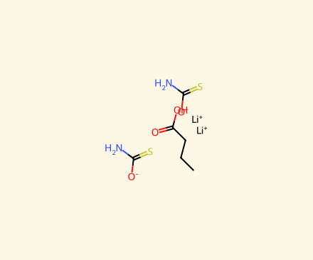 CCCC(=O)O.NC([O-])=S.NC([O-])=S.[Li+].[Li+]